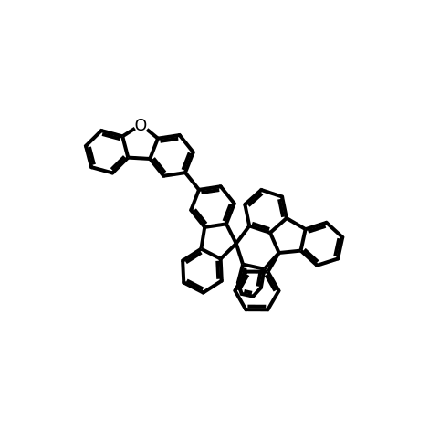 c1ccc(C23c4ccccc4-c4cccc(c42)C2(c4ccccc4-c4cc(-c5ccc6oc7ccccc7c6c5)ccc42)c2ccccc23)cc1